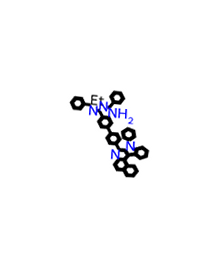 CCC(/N=C(\N=C(/N)c1ccccc1)c1ccc(-c2ccc(-c3nc4ccc5ccccc5c4c4c5ccccc5n(-c5ccccc5)c34)cc2)cc1)c1ccccc1